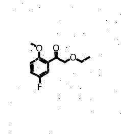 CCOCC(=O)c1cc(F)ccc1OC